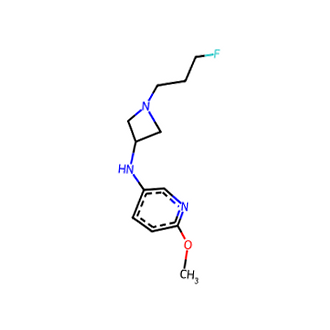 COc1ccc(NC2CN(CCCF)C2)cn1